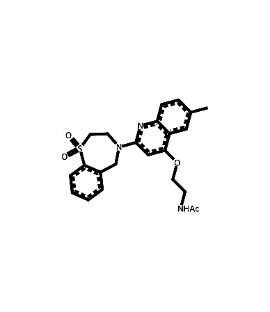 CC(=O)NCCOc1cc(N2CCS(=O)(=O)c3ccccc3C2)nc2ccc(C)cc12